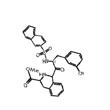 COC(=O)C1Cc2ccccc2C(C(=O)[C@H](Cc2cccc(C#N)c2)NS(=O)(=O)c2ccc3ccccc3c2)N1